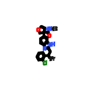 CCNC(=O)C1(c2ccc3nc(CC(c4ccccc4Cl)C(C)C)[nH]c3c2)CCOC1